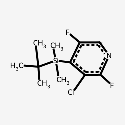 CC(C)(C)[Si](C)(C)c1c(F)[c]nc(F)c1Cl